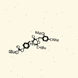 COc1ccc(COC(=O)[C@@H](Cc2ccc(OC(=O)OC(C)(C)C)cc2)NC(=O)OC(C)(C)C)c(OC)c1